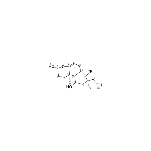 CCC1C2CC=C3C[C@@H](O)CC[C@]3(C)C2C(O)C[C@]1(C)CO